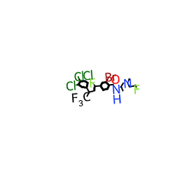 CC(CN(C)CCF)NC(=O)c1ccc(/C(F)=C/C(c2cc(Cl)c(Cl)c(Cl)c2)C(F)(F)F)cc1Br